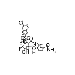 NC(=O)c1ccc(O)c(CN2CCC(NS(=O)(=O)c3cc4ccc(Cl)cc4s3)C2=O)c1.O=C(O)C(F)(F)F